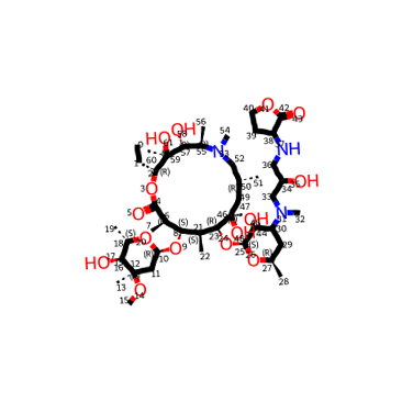 CC[C@H]1OC(=O)[C@H](C)[C@@H](O[C@H]2C[C@@](C)(OC)[C@@H](O)[C@H](C)O2)[C@H](C)[C@@H](O[C@@H]2O[C@H](C)CC(N(C)CC(O)CNC3CCOC3=O)[C@H]2O)[C@](C)(O)C[C@@H](C)CN(C)[C@H](C)[C@@H](O)[C@]1(C)O